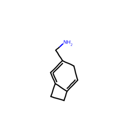 NCC1=C=C2CCC2=CC1